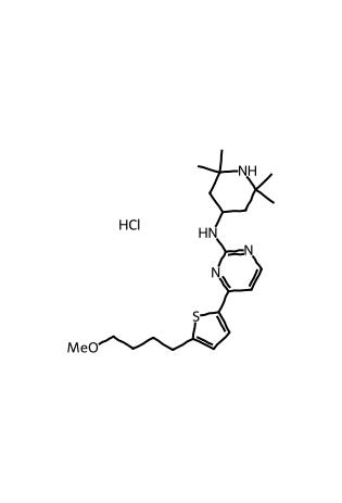 COCCCCc1ccc(-c2ccnc(NC3CC(C)(C)NC(C)(C)C3)n2)s1.Cl